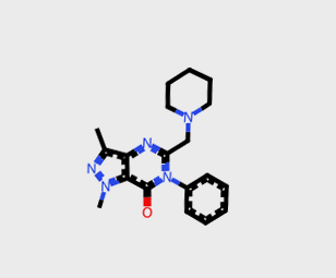 Cc1nn(C)c2c(=O)n(-c3ccccc3)c(CN3CCCCC3)nc12